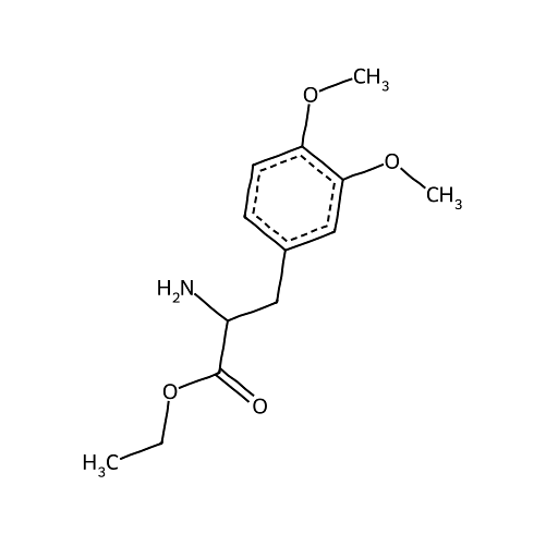 CCOC(=O)C(N)Cc1ccc(OC)c(OC)c1